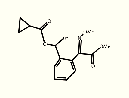 CCCC(OC(=O)C1CC1)c1ccccc1C(=NOC)C(=O)OC